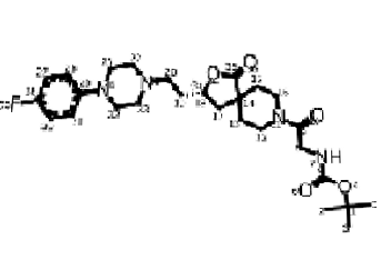 CC(C)(C)OC(=O)NCC(=O)N1CCC2(CC1)C[C@H](CCN1CCN(c3ccc(F)cc3)CC1)OC2=O